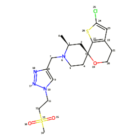 C[C@H]1C[C@]2(CCN1Cc1cn(CCS(C)(=O)=O)nn1)OCCc1cc(Cl)sc12